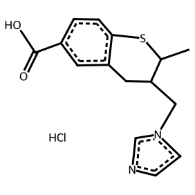 CC1Sc2ccc(C(=O)O)cc2CC1Cn1ccnc1.Cl